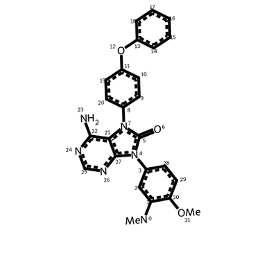 CNc1cc(-n2c(=O)n(-c3ccc(Oc4ccccc4)cc3)c3c(N)ncnc32)ccc1OC